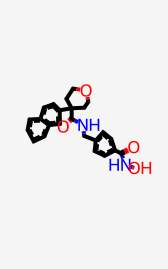 O=C(NO)c1ccc(CNC(=O)C2(c3ccc4ccccc4c3)CCOCC2)cc1